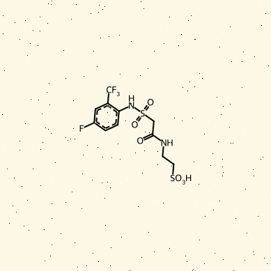 O=C(CS(=O)(=O)Nc1ccc(F)cc1C(F)(F)F)NCCS(=O)(=O)O